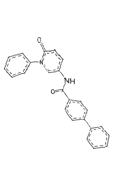 O=C(Nc1ccc(=O)n(-c2ccccc2)c1)c1ccc(-c2ccccc2)cc1